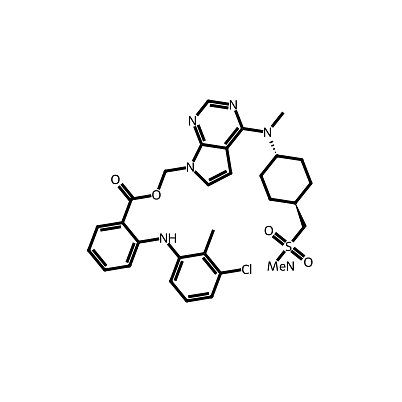 CNS(=O)(=O)C[C@H]1CC[C@H](N(C)c2ncnc3c2ccn3COC(=O)c2ccccc2Nc2cccc(Cl)c2C)CC1